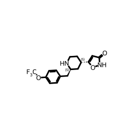 O=c1cc([C@H]2CCN[C@H](Cc3ccc(OC(F)(F)F)cc3)C2)o[nH]1